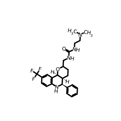 CN(C)CCNC(=O)NCC1CC[C@H]2[C@@H](c3ccccc3)Nc3ccc(C(F)(F)F)cc3[C@H]2O1